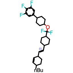 CCCCC1C=CC(/C=C/C2CCC(C(F)(F)OC3CCC(c4cc(F)c(F)c(F)c4)CC3)CC2)CC1